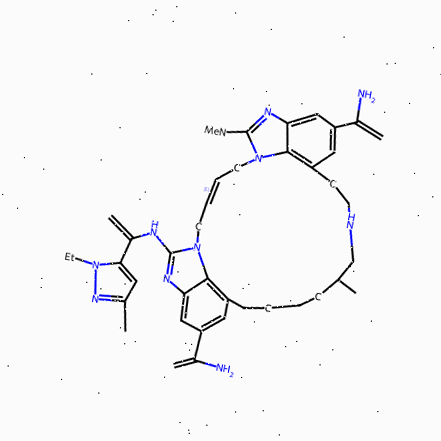 C=C(N)c1cc2c3c(c1)nc(NC)n3C/C=C/Cn1c(NC(=C)c3cc(C)nn3CC)nc3cc(C(=C)N)cc(c31)CCCCC(C)CNCC2